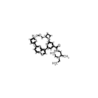 CCN(CC)C(C)CNC(=O)c1cc(-c2cnn3ccc(-c4cccs4)nc23)nc(N2CC[C@@H]2COC)c1